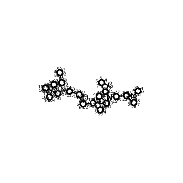 CC1(C)c2ccccc2-c2ccc(N(c3ccc(-c4ccc5c(c4)c4ccccc4n5-c4ccccc4)cc3)c3cccc4c3-c3ccccc3C43c4ccccc4-c4cc(-c5cccc6c5oc5ccc(-c7ccc(N(c8ccc(-c9ccccc9)cc8)c8cccc9c8-c8ccccc8C98c9ccccc9-c9ccccc98)cc7)cc56)ccc43)cc21